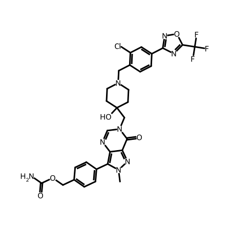 Cn1nc2c(=O)n(CC3(O)CCN(Cc4ccc(-c5noc(C(F)(F)F)n5)cc4Cl)CC3)cnc2c1-c1ccc(COC(N)=O)cc1